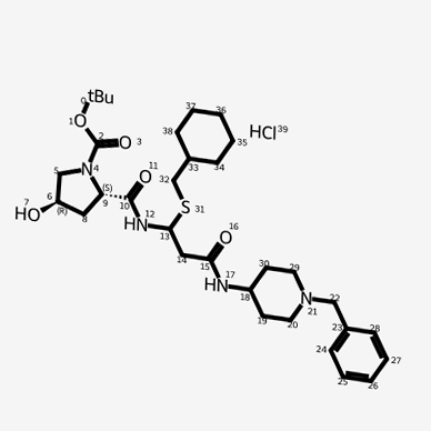 CC(C)(C)OC(=O)N1C[C@H](O)C[C@H]1C(=O)NC(CC(=O)NC1CCN(Cc2ccccc2)CC1)SCC1CCCCC1.Cl